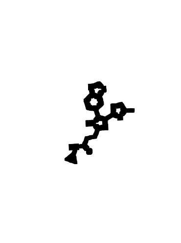 Cc1csc(-c2nc(CCC(=O)NC3CC3)[nH]c2-c2ccc3ncsc3c2)n1